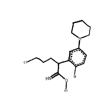 CCOC(=N)C(CCCCl)c1cc(N2CCCCC2)ccc1Br